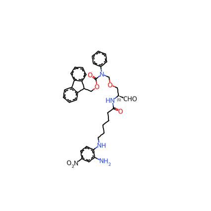 Nc1cc([N+](=O)[O-])ccc1NCCCCCC(=O)N[C@H](C=O)COCN(C(=O)OCC1c2ccccc2-c2ccccc21)c1ccccc1